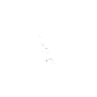 N/C(=N\O)c1ccc(OC2CCCCC2F)cc1